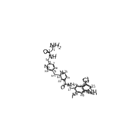 NCC(=O)NCc1ccc(Cc2cc(C(=O)NCc3cc4c(Cl)c[nH]c4cc3F)ccn2)cn1